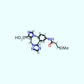 COCCC(=O)Nc1ccc2c(c1)-c1ncnn1Cc1c(C(=O)O)ncn1-2